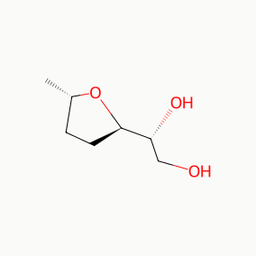 C[C@H]1CC[C@H]([C@H](O)CO)O1